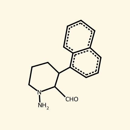 NN1CCCC(c2cccc3ccccc23)C1C=O